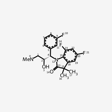 CNCC(O)[C@H](c1cccc(F)c1)N1C(=O)C(C)(C)c2cc(F)cc(F)c21